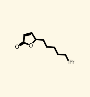 CC(C)CCCCCC1C=CC(=O)O1